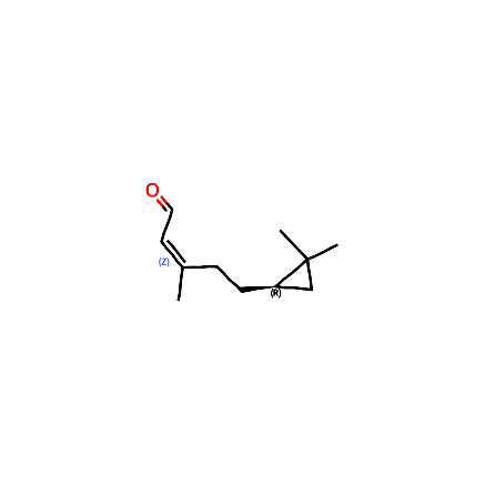 C/C(=C/C=O)CC[C@@H]1CC1(C)C